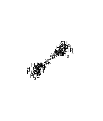 COC(=O)N[C@@H](C(=O)N[C@@H](C)c1ncc(-c2ccc(C#Cc3ccc(-c4cnc([C@H](C)NC(=O)[C@H](NC(=O)OC)C(C)C)[nH]4)cc3)cc2)[nH]1)C(C)C